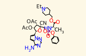 CCN1CCC(COC(=O)[C@H](C)NP(=O)(OC[C@@]2(C#N)O[C@@H](c3ccc4c(N)ncnn34)[C@H](OC(C)=O)[C@@H]2OC(C)=O)Oc2ccccc2)CC1